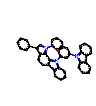 c1ccc(-c2cn(-c3ccccc3)c3c2ccc2c4ccccc4n(-c4cccc(-n5c6ccccc6c6ccccc65)c4)c23)cc1